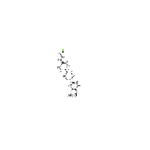 COCc1ccc([C@H]2CC[C@H]([C@H]3CC[C@H](C/C=C/F)CC3)CC2)cc1